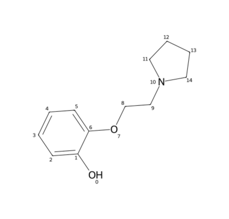 Oc1ccccc1OCCN1CCCC1